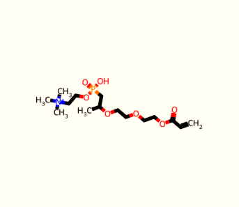 C=CC(=O)OCCOCCOC(C)CP(=O)(O)OCC[N+](C)(C)C